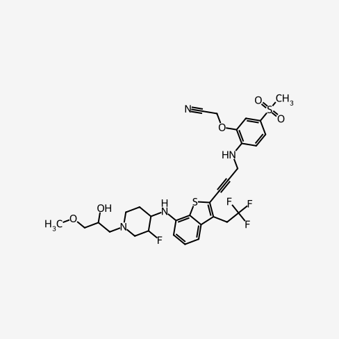 COCC(O)CN1CCC(Nc2cccc3c(CC(F)(F)F)c(C#CCNc4ccc(S(C)(=O)=O)cc4OCC#N)sc23)C(F)C1